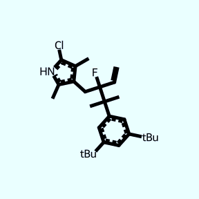 C=CC(F)(Cc1c(C)[nH]c(Cl)c1C)C(C)(C)c1cc(C(C)(C)C)cc(C(C)(C)C)c1